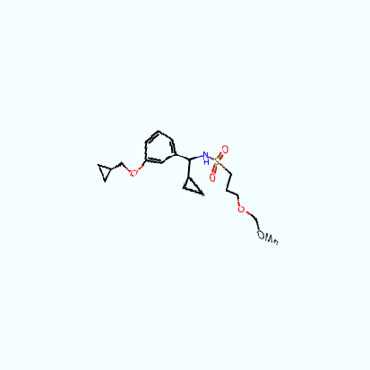 COCOCCCS(=O)(=O)NC(c1cccc(OCC2CC2)c1)C1CC1